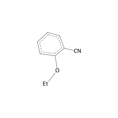 [CH2]COc1ccccc1C#N